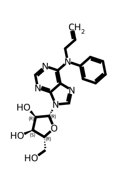 C=CCN(c1ccccc1)c1ncnc2c1ncn2[C@@H]1O[C@H](CO)[C@@H](O)[C@H]1O